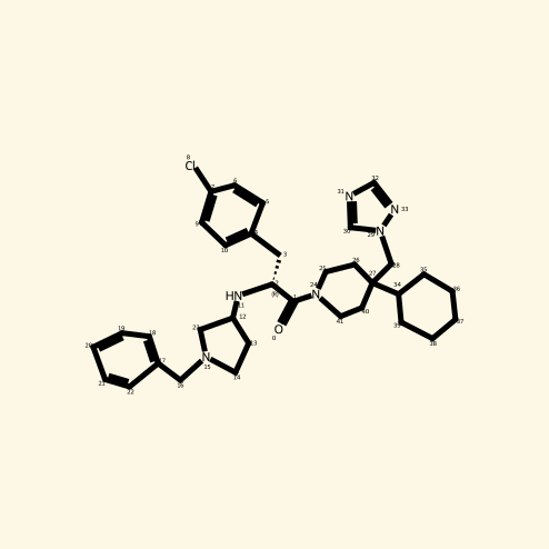 O=C([C@@H](Cc1ccc(Cl)cc1)NC1CCN(Cc2ccccc2)C1)N1CCC(Cn2cncn2)(C2CCCCC2)CC1